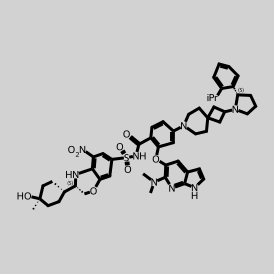 CC(C)c1ccccc1[C@@H]1CCCN1C1CC2(CCN(c3ccc(C(=O)NS(=O)(=O)c4cc5c(c([N+](=O)[O-])c4)N[C@@H]([C@H]4CC[C@](C)(O)CC4)CO5)c(Oc4cc5cc[nH]c5nc4N(C)C)c3)CC2)C1